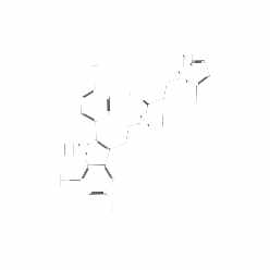 Cc1ccnn1CCC(=O)NCCc1c(-c2ccc(F)cc2)[nH]c2c(F)cc(F)cc12